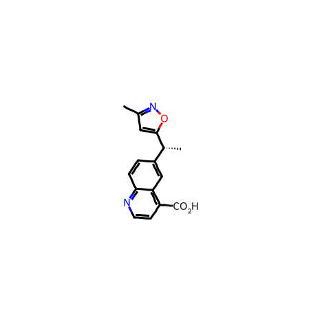 Cc1cc([C@H](C)c2ccc3nccc(C(=O)O)c3c2)on1